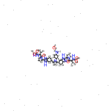 COCCN(C)c1ccc(N2[C@H](c3ccc4nc([C@@H]5CCCN5C(=O)[C@@H](NC(=O)OC)C(C)C)[nH]c4c3)CC[C@H]2c2ccc3nc([C@@H]4CCCN4C(=O)[C@@H](NC(=O)OC)C(C)C)[nH]c3c2)cc1